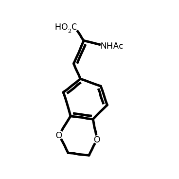 CC(=O)N/C(=C\c1ccc2c(c1)OCCO2)C(=O)O